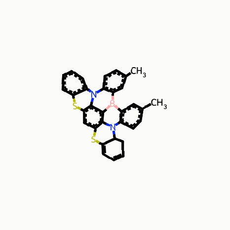 Cc1ccc2c(c1)B1c3cc(C)ccc3N3c4c(cc5c(c41)N2c1ccccc1S5)SC1=CC=CCC13